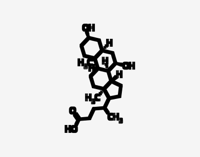 CC(CCC(=O)O)C1CC[C@H]2[C@@H]3[C@H](O)C[C@@H]4C[C@H](O)CC[C@]4(C)[C@H]3CC[C@]12C